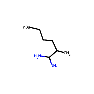 CCCCCCCC(C)C(N)N